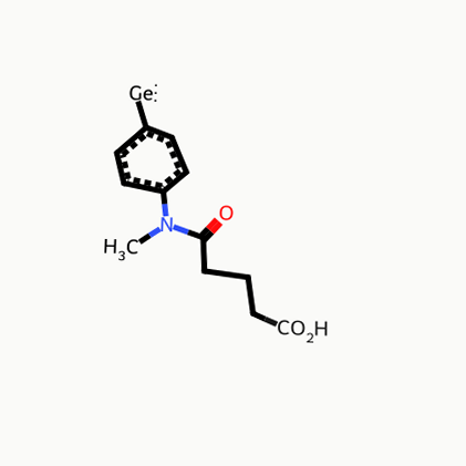 CN(C(=O)CCCC(=O)O)c1cc[c]([Ge])cc1